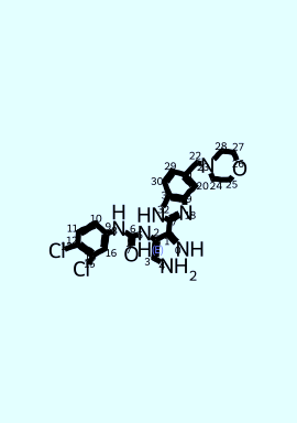 N=C(/C(=C\N)NC(=O)Nc1ccc(Cl)c(Cl)c1)c1nc2cc(CN3CCOCC3)ccc2[nH]1